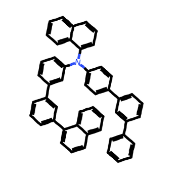 c1ccc(-c2cccc(-c3ccc(N(c4cccc(-c5cccc(-c6cccc7ccccc67)c5)c4)c4cccc5ccccc45)cc3)c2)cc1